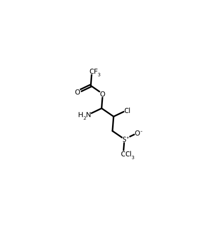 NC(OC(=O)C(F)(F)F)C(Cl)C[S+]([O-])C(Cl)(Cl)Cl